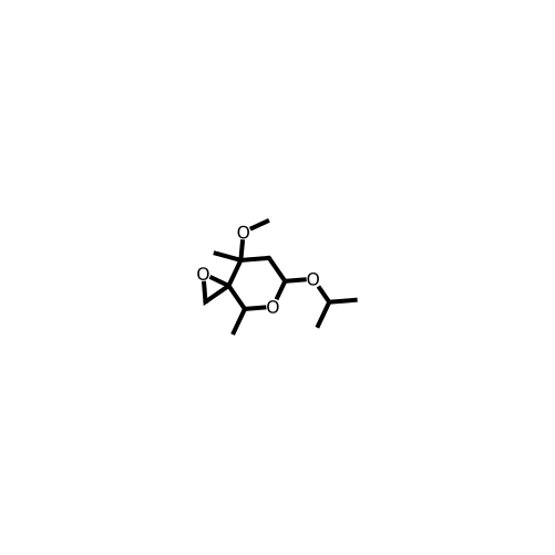 COC1(C)CC(OC(C)C)OC(C)C12CO2